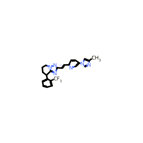 Cc1cn(-c2ccc(/C=C/c3nc4n(n3)CCCC4c3ccccc3C(F)(F)F)nc2)cn1